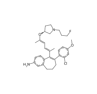 COc1ccc(C2=C(/C(C)=C/C=C(\C)O[C@H]3CCN(CCCF)C3)c3ccc(N)cc3CCC2)c(Cl)c1